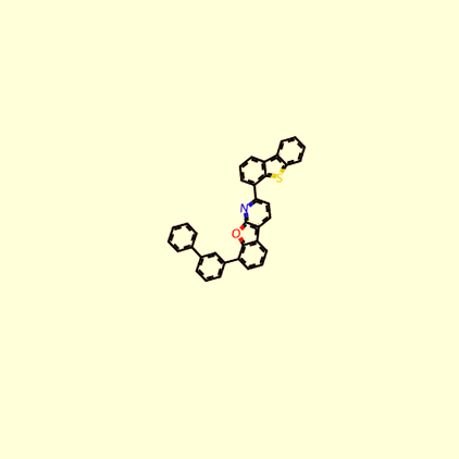 c1ccc(-c2cccc(-c3cccc4c3oc3nc(-c5cccc6c5sc5ccccc56)ccc34)c2)cc1